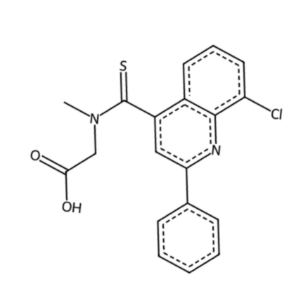 CN(CC(=O)O)C(=S)c1cc(-c2ccccc2)nc2c(Cl)cccc12